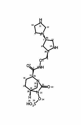 O=C(NOC[C@H]1C[C@@H](N2CCNC2)CN1)[C@@H]1CC[C@@H]2CN1C(=O)N2OS(=O)(=O)O